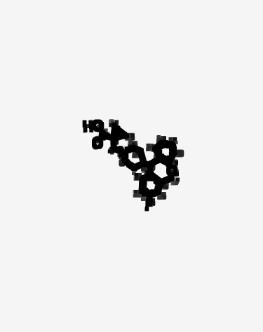 O=C(O)C1(CN2CCC(C3c4ccc(F)cc4COc4ccccc43)CC2)CC1